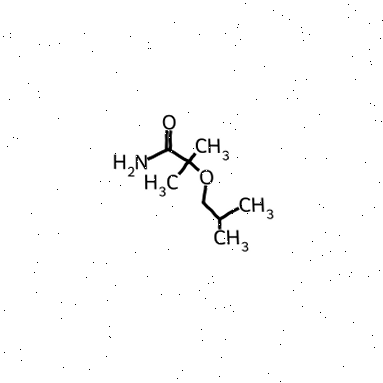 CC(C)COC(C)(C)C(N)=O